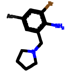 CC(=O)c1cc(Br)c(N)c(CN2CCCC2)c1